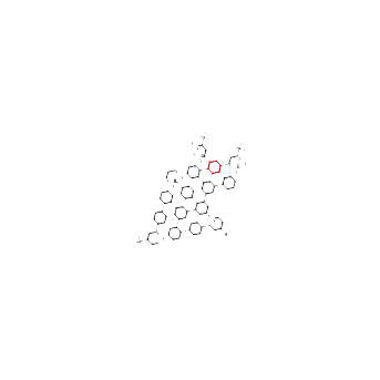 CC(C)(C)c1ccnc(-c2ccc(-c3ccccc3-c3cc(-c4ccccc4-c4ccc(-c5cc(C(C)(C)C)ccn5)cc4)cc(-c4cccc(-c5cc(-c6ccccc6-c6ccc(-c7cc(C(C)(C)C)ncn7)cc6)cc(-c6ccccc6-c6ccc(-c7cc(C(C)(C)C)ncn7)cc6)c5)c4-c4ccc(-c5ncccn5)cc4)c3)cc2)c1